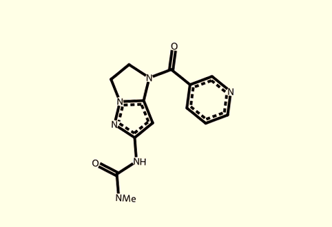 CNC(=O)Nc1cc2n(n1)CCN2C(=O)c1cccnc1